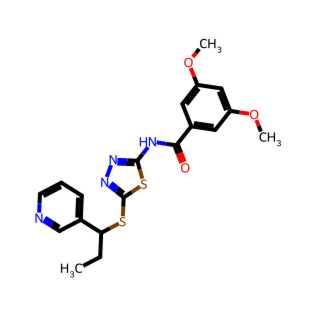 CCC(Sc1nnc(NC(=O)c2cc(OC)cc(OC)c2)s1)c1cccnc1